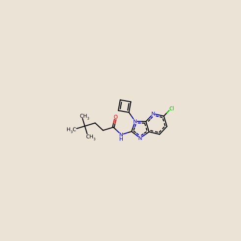 CC(C)(C)CCC(=O)Nc1nc2ccc(Cl)nc2n1C1=CC=C1